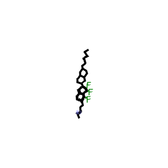 C/C=C/CCc1ccc2cc(C3CCC4CC(CCCCCC)CCC4C3)c(F)c(F)c2c1F